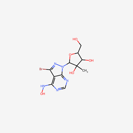 CC1(O)C(O)C(CO)OC1n1nc(Br)c2c(NO)ncnc21